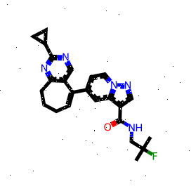 CC(C)(F)CNC(=O)c1cnn2ccc(C3=CCCCc4nc(C5CC5)ncc43)cc12